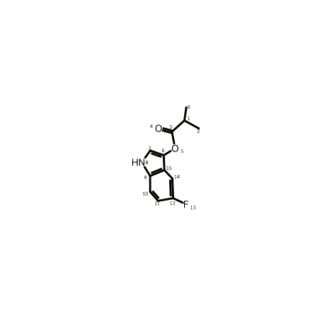 CC(C)C(=O)Oc1c[nH]c2ccc(F)cc12